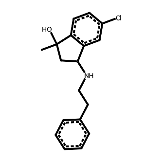 CC1(O)CC(NCCc2ccccc2)c2cc(Cl)ccc21